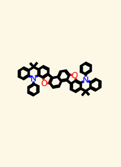 CC1(C)c2ccccc2N(c2ccccc2)c2c1ccc1c2oc2ccc3c(ccc4oc5c6c(ccc5c43)C(C)(C)c3ccccc3N6c3ccccc3)c21